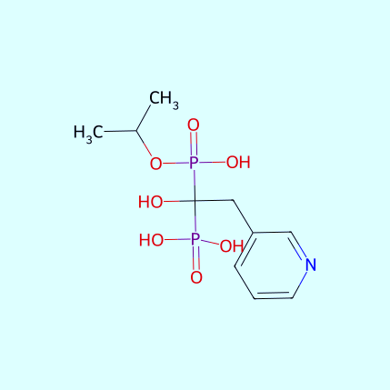 CC(C)OP(=O)(O)C(O)(Cc1cccnc1)P(=O)(O)O